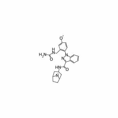 COc1ccc(-n2nc(C(=O)NC3CC4CCC(C3)N4C)c3ccccc32)c(CNC(N)=O)c1